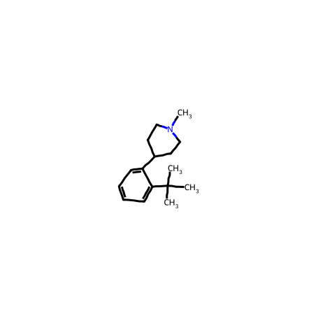 CN1CCC(c2ccccc2C(C)(C)C)CC1